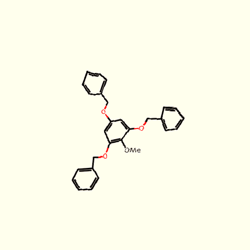 COc1c(OCc2ccccc2)cc(OCc2ccccc2)cc1OCc1ccccc1